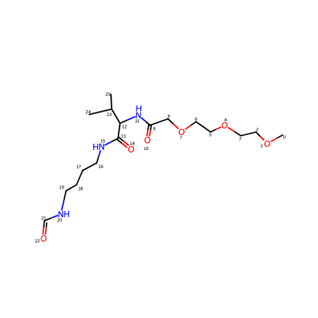 COCCOCCOCC(=O)NC(C(=O)NCCCCNC=O)C(C)C